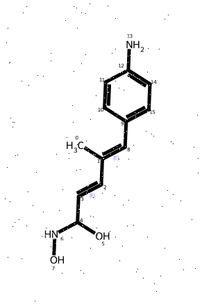 CC(/C=C/C(O)NO)=C\c1ccc(N)cc1